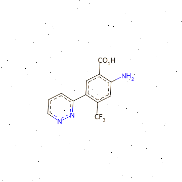 Nc1cc(C(F)(F)F)c(-c2cccnn2)cc1C(=O)O